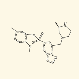 COc1ccc(C)cc1OS(=O)(=O)c1cc(CN2CCN[C@H](C)C2)c2occc2c1